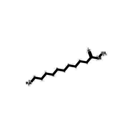 CNC(=O)CCCCCCCCCCN